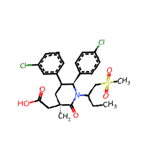 CCC(CS(C)(=O)=O)N1C(=O)[C@@](C)(CC(=O)O)CC(c2cccc(Cl)c2)[C@H]1c1ccc(Cl)cc1